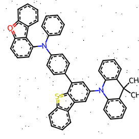 CC1(C)c2ccccc2N(c2cc(-c3ccc(N(c4ccccc4)c4cccc5oc6ccccc6c45)cc3)c3sc4ccccc4c3c2)c2ccccc21